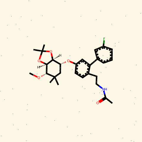 CO[C@@H]1[C@H]2OC(C)(C)O[C@H]2[C@H](Oc2ccc(CCNC(C)=O)c(-c3cccc(F)c3)c2)CC1(C)C